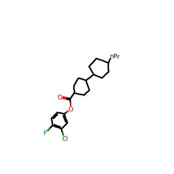 CCCC1CCC(C2CCC(C(=O)Oc3ccc(F)c(Cl)c3)CC2)CC1